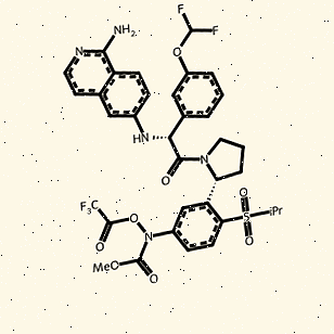 COC(=O)N(OC(=O)C(F)(F)F)c1ccc(S(=O)(=O)C(C)C)c([C@H]2CCCN2C(=O)[C@H](Nc2ccc3c(N)nccc3c2)c2cccc(OC(F)F)c2)c1